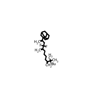 C=C(CCCCC(=C)C(C)(C)C(C)(C)C)C(F)(F)CC(=C)C12CC3CC(CC(C3)C1)C2